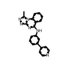 Cc1nnc2nc(Nc3cccc(-c4ccncc4)c3)c3ccccc3n12